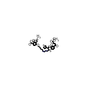 CCCc1c(OCCCC/C=C\C=C\C(Sc2ccc3c(=O)cc(C(=O)OC)oc3c2)C(O)c2ccsc2)ccc(C(C)=O)c1O